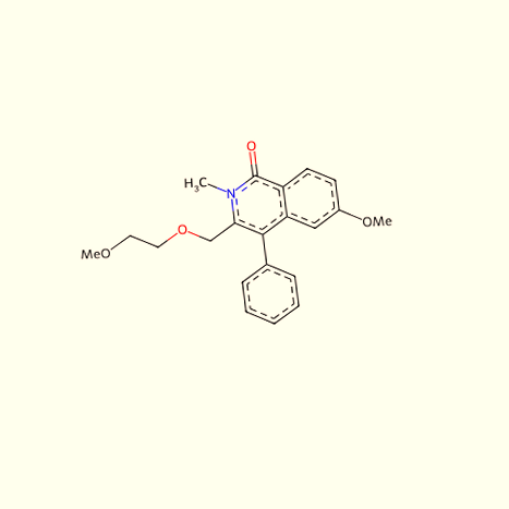 COCCOCc1c(-c2ccccc2)c2cc(OC)ccc2c(=O)n1C